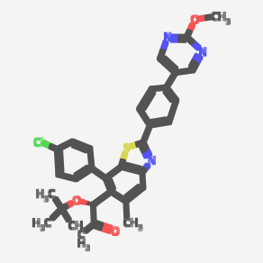 COc1ncc(-c2ccc(-c3nc4cc(C)c([C@H](OC(C)(C)C)C(C)=O)c(-c5ccc(Cl)cc5)c4s3)cc2)cn1